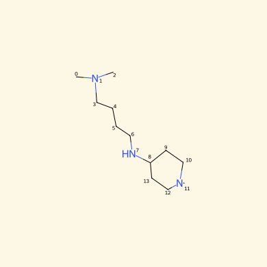 CN(C)CCCCNC1CC[N]CC1